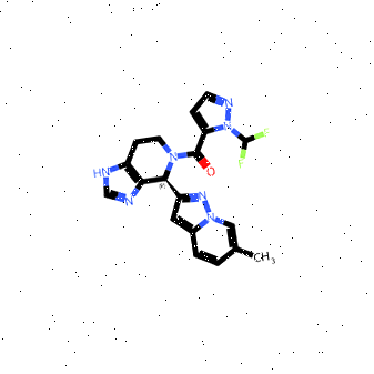 Cc1ccc2cc([C@H]3c4nc[nH]c4CCN3C(=O)c3ccnn3C(F)F)nn2c1